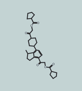 CC1CCc2c(C(=O)COC(=O)C3CCCC3)ccc(C3CCC(C(=O)COC(=O)C4CCCC4)CC3)c21